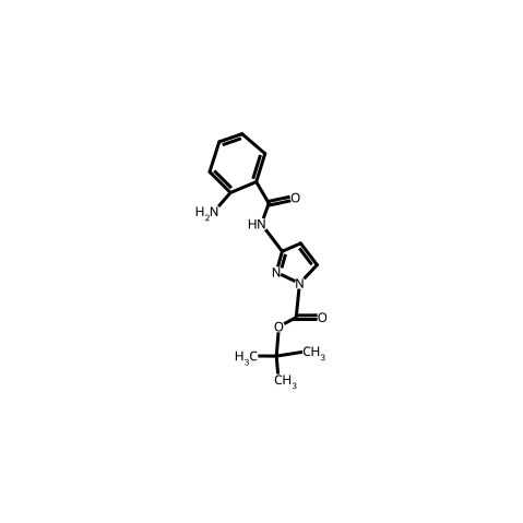 CC(C)(C)OC(=O)n1ccc(NC(=O)c2ccccc2N)n1